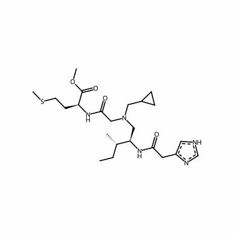 CC[C@H](C)[C@@H](CN(CC(=O)N[C@@H](CCSC)C(=O)OC)CC1CC1)NC(=O)Cc1c[nH]cn1